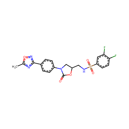 Cc1nc(-c2ccc(N3CC(CNS(=O)(=O)c4ccc(F)c(F)c4)OC3=O)cc2)no1